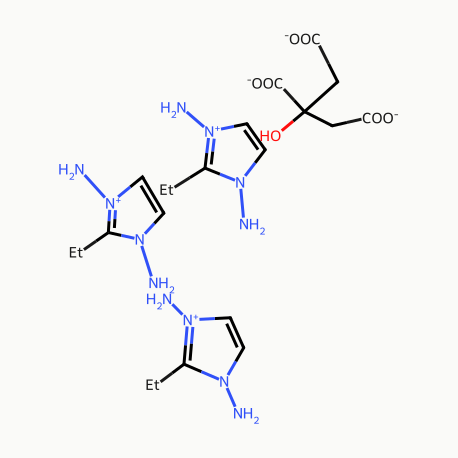 CCc1n(N)cc[n+]1N.CCc1n(N)cc[n+]1N.CCc1n(N)cc[n+]1N.O=C([O-])CC(O)(CC(=O)[O-])C(=O)[O-]